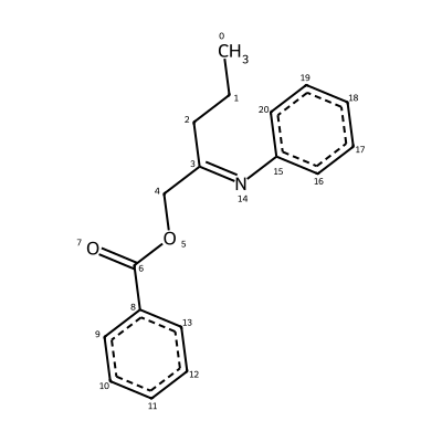 CCCC(COC(=O)c1ccccc1)=Nc1ccccc1